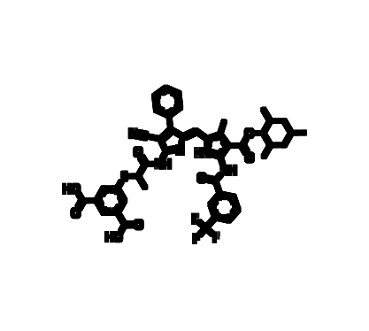 Cc1c(/C=C2\N=C(NC(=O)C(C)Sc3cc(C(=O)O)cc(C(=O)O)c3)C(C#N)=C2c2ccccc2)[nH]c(NC(=O)c2cccc(C(F)(F)F)c2)c1C(=O)OC1C(C)CC(C)CC1C